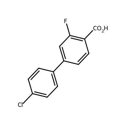 O=C(O)c1ccc(-c2ccc(Cl)cc2)cc1F